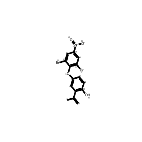 C=C(C)c1cc(Oc2c(Br)cc([N+](=O)[O-])cc2Br)ccc1O